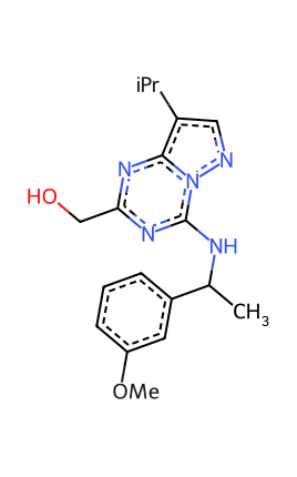 COc1cccc(C(C)Nc2nc(CO)nc3c(C(C)C)cnn23)c1